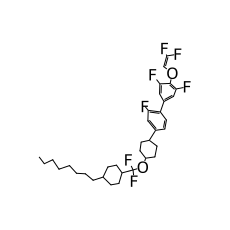 CCCCCCCCC1CCC(C(F)(F)OC2CCC(c3ccc(-c4cc(F)c(OC=C(F)F)c(F)c4)c(F)c3)CC2)CC1